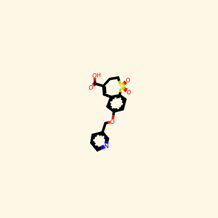 O=C(O)C1=Cc2cc(OCc3cccnc3)ccc2S(=O)(=O)CC1